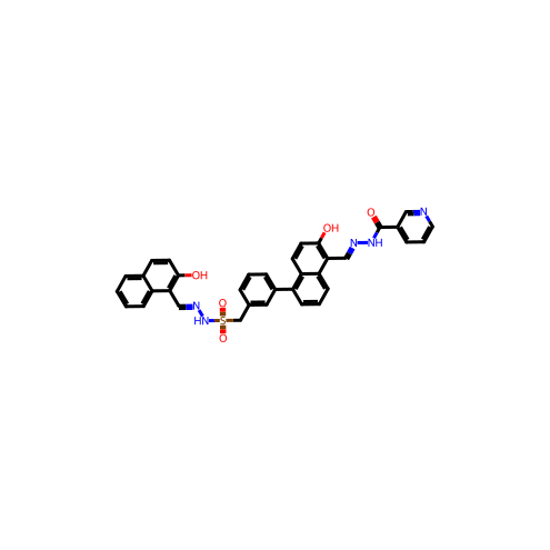 O=C(N/N=C/c1c(O)ccc2c(-c3cccc(CS(=O)(=O)N/N=C/c4c(O)ccc5ccccc45)c3)cccc12)c1cccnc1